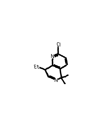 CCC1C=NC(C)(C)c2ccc(Cl)nc21